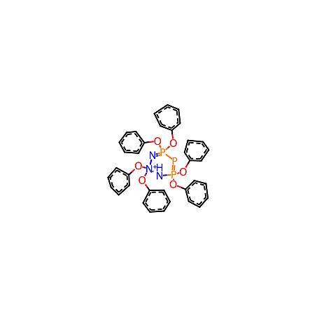 c1ccc(O[N+]2(Oc3ccccc3)N=P(Oc3ccccc3)(Oc3ccccc3)P=P(Oc3ccccc3)(Oc3ccccc3)N2)cc1